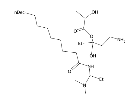 CCC(O)(CCN)OC(=O)C(C)O.CCCCCCCCCCCCCCCCCC(=O)NC(CC)N(C)C